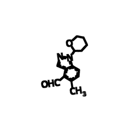 Cc1ccc2c(cnn2C2CCCCO2)c1C=O